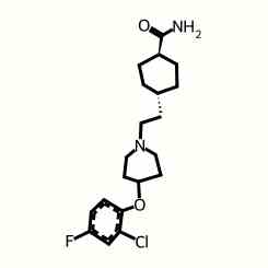 NC(=O)[C@H]1CC[C@H](CCN2CCC(Oc3ccc(F)cc3Cl)CC2)CC1